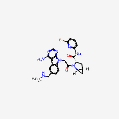 Nc1ncnc2c1c1cc(CNC(=O)O)ccc1n2CC(=O)N1[C@@H]2C[C@@H]2C[C@H]1C(=O)Nc1cccc(Br)n1